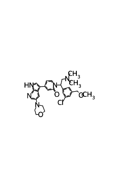 COCc1cc(Cl)cc(C(CN(C)C)n2ccc(-c3c[nH]c4ncc(N5CCOCC5)cc34)cc2=O)c1